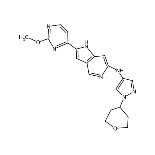 COc1nccc(-c2cc3cnc(Nc4cnn(C5CCOCC5)c4)cc3[nH]2)n1